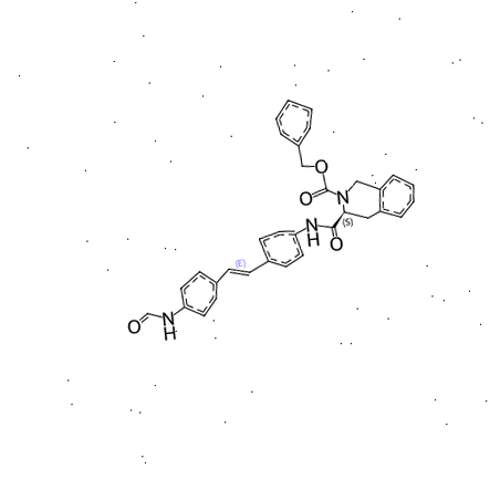 O=CNc1ccc(/C=C/c2ccc(NC(=O)[C@@H]3Cc4ccccc4CN3C(=O)OCc3ccccc3)cc2)cc1